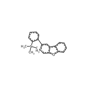 C[Si](C)(C)c1ccccc1-c1cc2c(cn1)oc1ccccc12